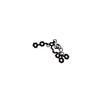 O=C(CC/C=C\CCC1[C@@H](OCc2ccc(-c3ccccc3)cc2)CC(=O)[C@@H]1N1CCOCC1)OC(c1ccccc1)(c1ccccc1)c1ccccc1